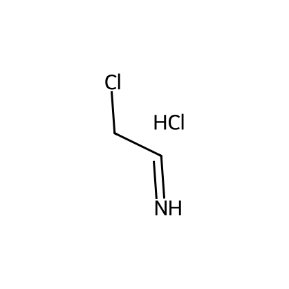 Cl.N=CCCl